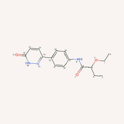 CCOC(CC)C(=O)Nc1ccc(-c2ccc(=O)[nH]n2)cc1